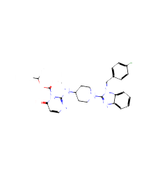 CC(C)OC(=O)n1c(N(C)C2CCN(c3nc4ccccc4n3Cc3ccc(F)cc3)CC2)nccc1=O